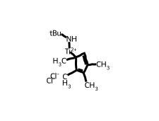 CC1=C[C](C)([Ti+2][NH]C(C)(C)C)C(C)=C1C.[Cl-].[Cl-]